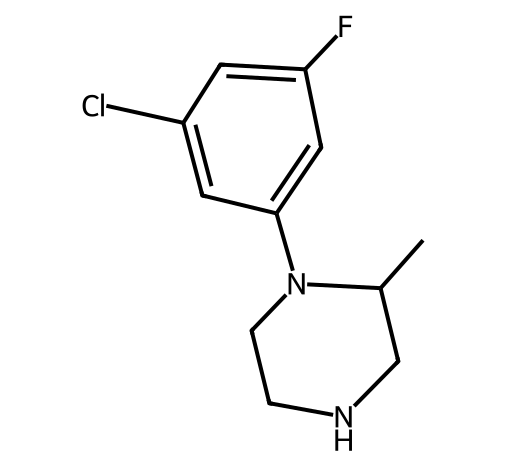 CC1CNCCN1c1cc(F)cc(Cl)c1